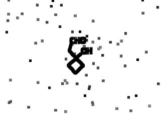 O=[C]CC1(O)CCC1